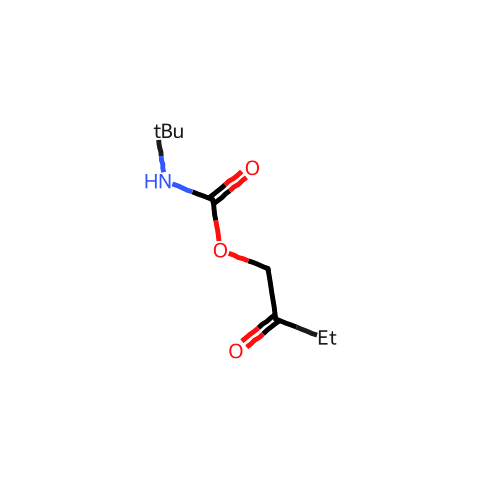 CCC(=O)COC(=O)NC(C)(C)C